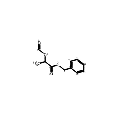 CC(O[C]=O)C(=O)OCc1ccccc1